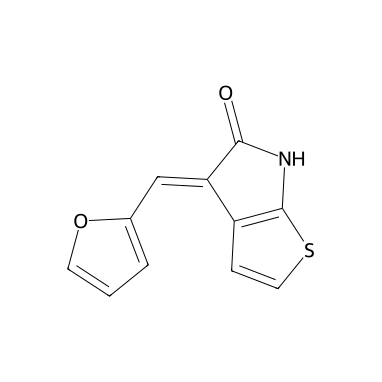 O=C1Nc2sccc2/C1=C\c1ccco1